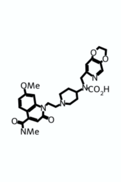 CNC(=O)c1cc(=O)n(CCN2CCC(N(Cc3cc4c(cn3)OCCO4)C(=O)O)CC2)c2cc(OC)ccc12